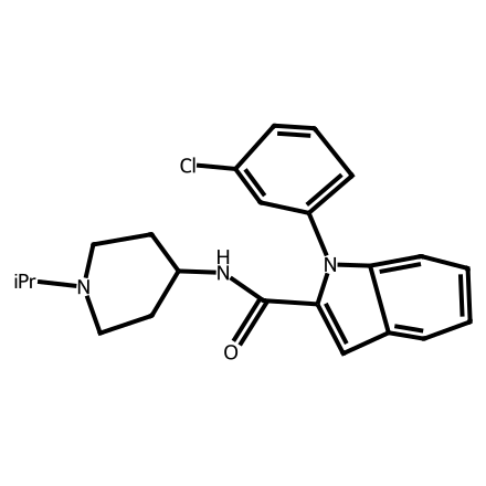 CC(C)N1CCC(NC(=O)c2cc3ccccc3n2-c2cccc(Cl)c2)CC1